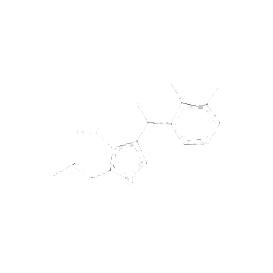 CC=Cc1ncc(C(C)c2cccc(C)c2C)n1C(=O)O